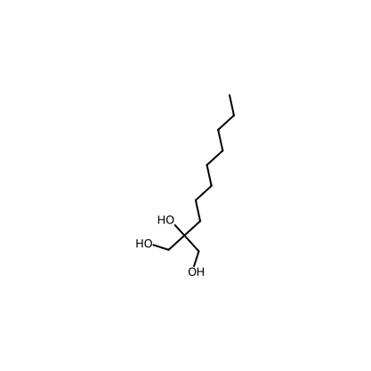 CCCCCCCCC(O)(CO)CO